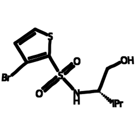 CC(C)[C@@H](CO)NS(=O)(=O)c1sccc1Br